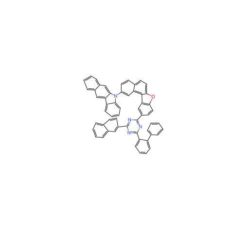 c1ccc(-c2ccccc2-c2nc(-c3ccc4ccccc4c3)nc(-c3ccc4oc5ccc6ccc(-n7c8ccccc8c8cc9ccccc9cc87)cc6c5c4c3)n2)cc1